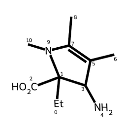 CCC1(C(=O)O)C(N)C(C)=C(C)N1C